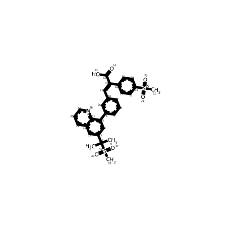 CC(C)(c1cc(-c2cccc(/C=C(/C(=O)O)c3ccc(S(C)(=O)=O)cc3)c2)c2ncccc2c1)S(C)(=O)=O